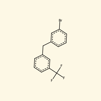 FC(F)(F)c1cccc(Cc2cccc(Br)c2)c1